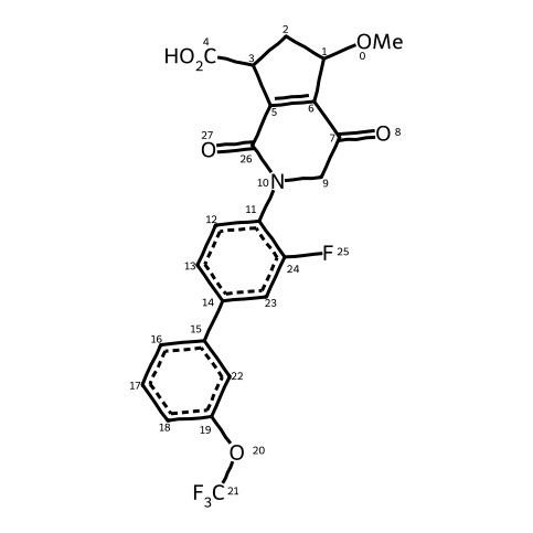 COC1CC(C(=O)O)C2=C1C(=O)CN(c1ccc(-c3cccc(OC(F)(F)F)c3)cc1F)C2=O